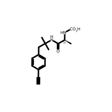 C#Cc1ccc(CC(C)(C)NC(=O)[C@H](C)NC(=O)O)cc1